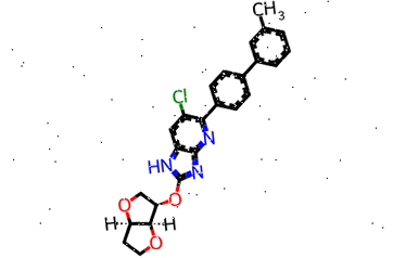 Cc1cccc(-c2ccc(-c3nc4nc(O[C@@H]5CO[C@@H]6CCO[C@@H]65)[nH]c4cc3Cl)cc2)c1